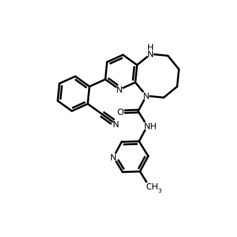 Cc1cncc(NC(=O)N2CCCCNc3ccc(-c4ccccc4C#N)nc32)c1